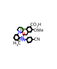 COc1cc(CC(=O)N(Nc2ccc(C#N)cc2)c2c(C)cccc2N2CCCCC2)c(Br)cc1C(=O)O